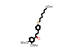 CCCCCCCCCCCCCCCCCSc1ccc(C=CC(=O)c2ccc(OC)c(OC)c2)cc1